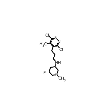 Cc1c(Cl)nnc(Cl)c1CCCN[C@@H]1C[C@@H](F)CN(C)C1